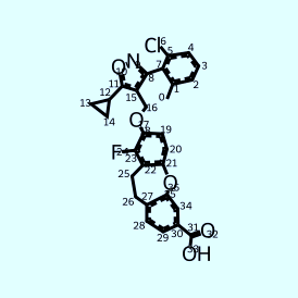 Cc1cccc(Cl)c1-c1noc(C2CC2)c1COc1ccc2c(c1F)CCc1ccc(C(=O)O)cc1O2